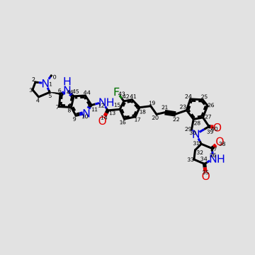 CN1CCC[C@@H]1c1cc2cnc(NC(=O)c3ccc(CCC#Cc4cccc5c4CN(C4CCC(=O)NC4=O)C5=O)cc3F)cc2[nH]1